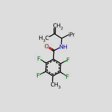 C=C(C)C(NC(=O)c1c(F)c(F)c(C)c(F)c1F)C(C)C